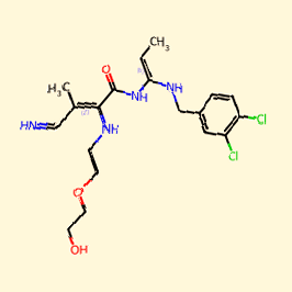 C/C=C(\NCc1ccc(Cl)c(Cl)c1)NC(=O)/C(NCCOCCO)=C(\C)C=N